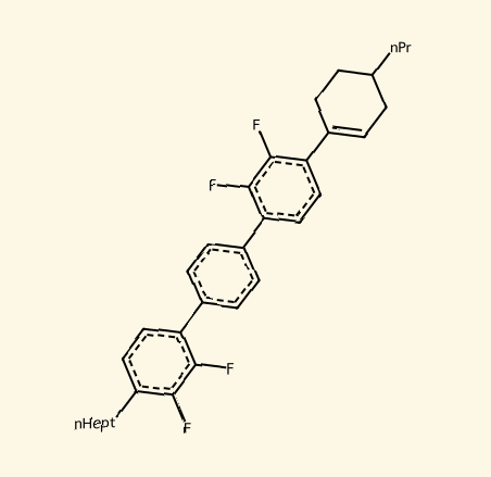 CCCCCCCc1ccc(-c2ccc(-c3ccc(C4=CCC(CCC)CC4)c(F)c3F)cc2)c(F)c1F